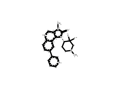 CN1CC[C@H](n2c(=O)n(C)c3cnc4ccc(-c5cccnc5)cc4c32)C(F)(F)C1